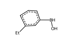 CCc1cccc(BO)c1